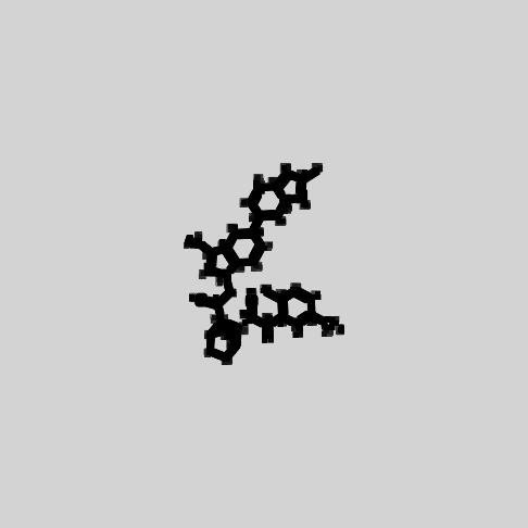 CC(=O)c1nn(CC(=O)N2C3CCC(C3)[C@H]2C(=O)Nc2nc(C(F)(F)F)ccc2C)c2ccc(-c3cnc4cc(C)nn4c3)cc12